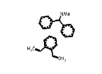 C=Cc1ccccc1C=C.CNC(c1ccccc1)c1ccccc1